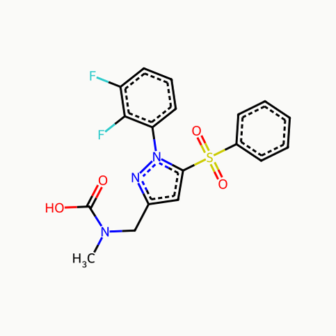 CN(Cc1cc(S(=O)(=O)c2ccccc2)n(-c2cccc(F)c2F)n1)C(=O)O